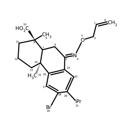 C=CCON=C1CC2[C@](C)(C(=O)O)CCC[C@]2(C)c2cc(Br)c(C(C)C)cc21